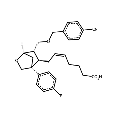 N#Cc1ccc(COC[C@@H]2[C@@H](C/C=C\CCCC(=O)O)[C@@]3(c4ccc(F)cc4)CO[C@@H]2C3)cc1